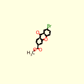 COC(=O)c1ccc2c(=O)c3cc(Br)ccc3oc2c1